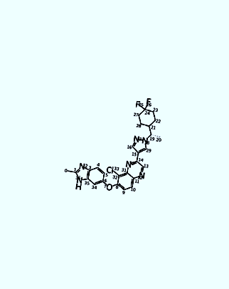 Cc1nc2ccc(Oc3ccc4ncc(-c5cnn([C@@H](C)C6CCC(F)(F)CC6)c5)nc4c3Cl)cc2[nH]1